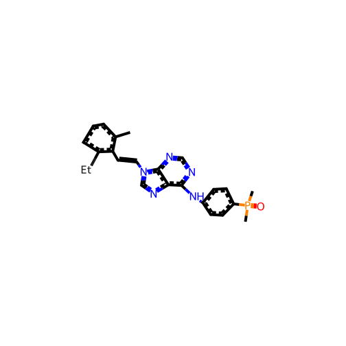 CCc1cccc(C)c1C=Cn1cnc2c(Nc3ccc(P(C)(C)=O)cc3)ncnc21